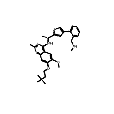 CNCc1ccccc1-c1csc([C@H](C)Nc2nc(C)nc3cc(OCCC(C)(C)C)c(OC)cc23)c1